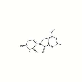 COc1cc(C)cc2c1CN(C1CCC(=O)NC1=O)C2=O